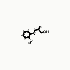 COc1ccccc1SCC(C)CO